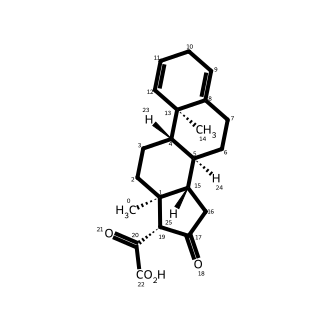 C[C@]12CC[C@H]3[C@@H](CCC4=CCC=C[C@@]43C)[C@@H]1CC(=O)[C@@H]2C(=O)C(=O)O